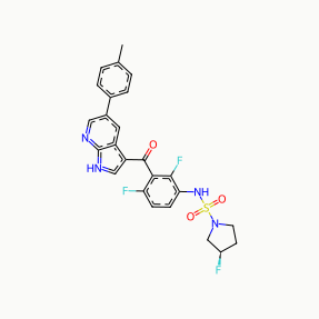 Cc1ccc(-c2cnc3[nH]cc(C(=O)c4c(F)ccc(NS(=O)(=O)N5CC[C@@H](F)C5)c4F)c3c2)cc1